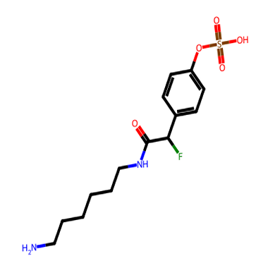 NCCCCCCNC(=O)C(F)c1ccc(OS(=O)(=O)O)cc1